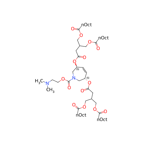 CCCCCCCCC(=O)OCC(COC(=O)CCCCCCCC)CC(=O)O[C@H]1C=C[C@H](OC(=O)CC(COC(=O)CCCCCCCC)COC(=O)CCCCCCCC)CN(C(=O)OCCN(C)C)C1